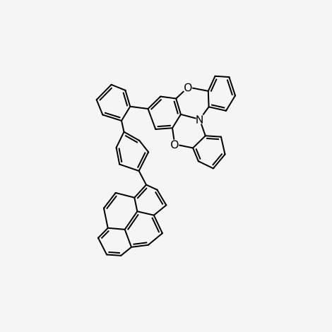 c1ccc2c(c1)Oc1cc(-c3ccccc3-c3ccc(-c4ccc5ccc6cccc7ccc4c5c67)cc3)cc3c1N2c1ccccc1O3